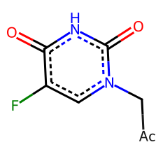 CC(=O)Cn1cc(F)c(=O)[nH]c1=O